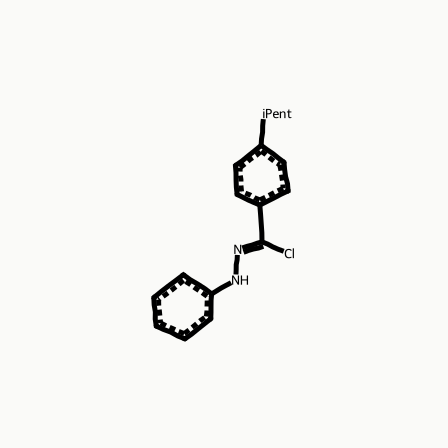 CCCC(C)c1ccc(C(Cl)=NNc2ccccc2)cc1